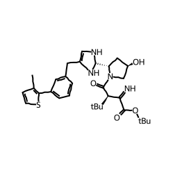 Cc1ccsc1-c1cccc(CC2=CNC([C@@H]3C[C@@H](O)CN3C(=O)[C@@H](C(=N)C(=O)OC(C)(C)C)C(C)(C)C)N2)c1